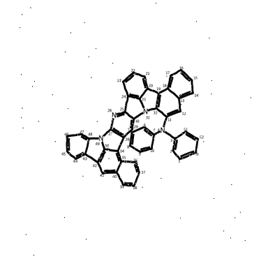 c1ccc(N(c2ccccc2)c2cc3ccccc3c3c4cccc5c6nc7c(cc6n(c23)c54)c2c3ccccc3cc3c4ccccc4n7c32)cc1